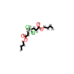 CCCCOC(=O)C[CH2][Sn]([Cl])([Cl])[CH2]CC(=O)OCCCC